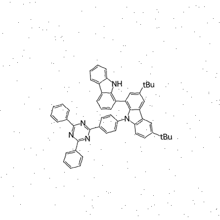 CC(C)(C)c1ccc2c(c1)c1cc(C(C)(C)C)cc(-c3cccc4c3[nH]c3ccccc34)c1n2-c1ccc(-c2nc(-c3ccccc3)nc(-c3ccccc3)n2)cc1